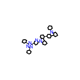 c1ccc(-c2nc(-c3ccccc3)nc(-c3ccc(-n4c5ccccc5c5c(-c6ccc7c8ccccc8n(-c8ccccc8)c7c6)cccc54)nc3)n2)cc1